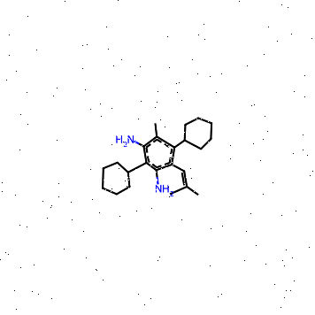 CC(C)=Cc1c(N)c(C2CCCCC2)c(N)c(C)c1C1CCCCC1